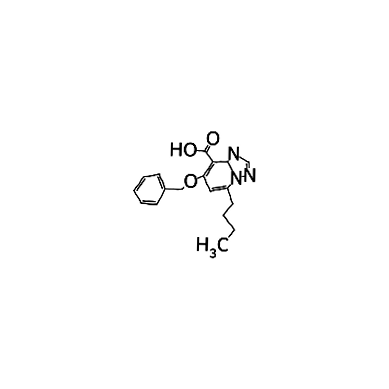 CCCCc1cc(OCc2ccccc2)c(C(=O)O)c2ncnn12